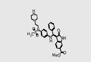 COC(=O)c1ccc2c(c1)NC(=O)C2=C(Nc1ccc(N(CCN2CCNCC2)S(C)(=O)=O)cc1)c1ccccc1